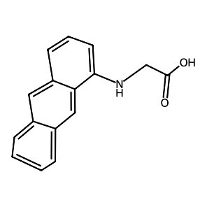 O=C(O)CNc1cccc2cc3ccccc3cc12